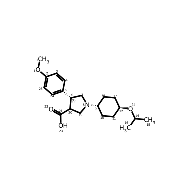 COc1ccc([C@@H]2CN([C@H]3CC[C@H](OC(C)C)CC3)CC2C(=O)O)cc1